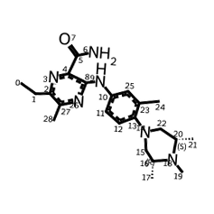 CCc1nc(C(N)=O)c(Nc2ccc(N3C[C@@H](C)N(C)[C@@H](C)C3)c(C)c2)nc1C